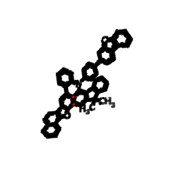 CC1(C)c2ccccc2-c2c(N(c3ccc(-c4ccc5c(c4)oc4ccccc45)cc3)c3ccccc3-c3ccc4oc5c6ccccc6ccc5c4c3)cccc21